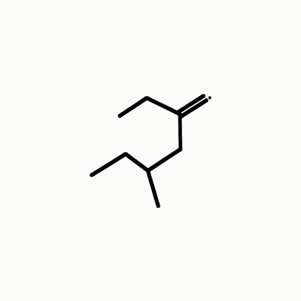 [CH]=C(CC)CC(C)CC